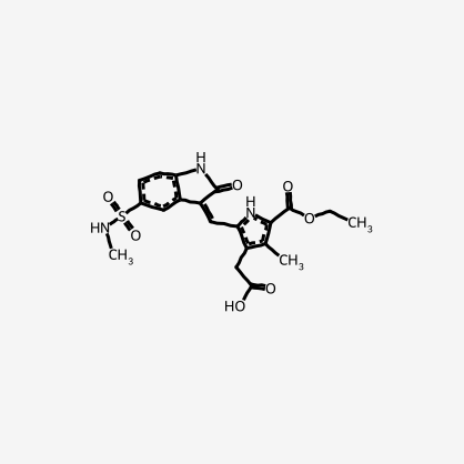 CCOC(=O)c1[nH]c(C=C2C(=O)Nc3ccc(S(=O)(=O)NC)cc32)c(CC(=O)O)c1C